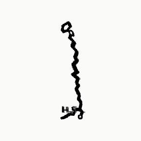 CCCC[SiH2]C([C]=O)CCCCCCCCCCCCCCCCOC1CC[CH]CC1